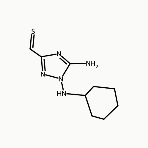 Nc1nc(C=S)nn1NC1CCCCC1